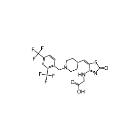 O=C(O)CNC1=NC(=O)SC1=CC1CCN(Cc2ccc(C(F)(F)F)cc2C(F)(F)F)CC1